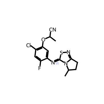 CC(C#N)Oc1cc(/N=c2\snc3n2C(C)CC3)c(F)cc1Cl